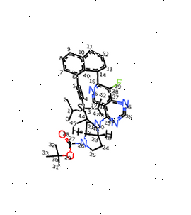 CC(C)[Si](C#Cc1cccc2cccc(-c3ncc4c(N5C[C@@H]6[C@H]5CCN6C(=O)OC(C)(C)C)ncnc4c3F)c12)(C(C)C)C(C)C